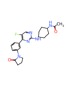 CC(=O)N[C@H]1CC[C@H](Nc2ncc(F)c(-c3cccc(N4CCCC4=O)c3)n2)CC1